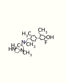 C=C(CN(C)C1CCNC1)/N=C(\C)Cc1ccc(-c2cc(F)c(O)cc2CC)cc1C